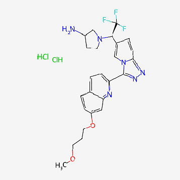 COCCCOc1ccc2ccc(-c3nnc4ccc([C@@H](N5CCC(N)C5)C(F)(F)F)cn34)nc2c1.Cl.Cl